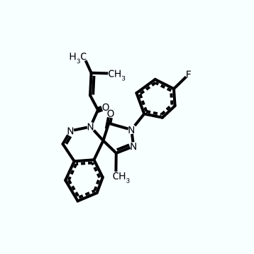 CC(C)=CC(=O)N1N=Cc2ccccc2C12C(=O)N(c1ccc(F)cc1)N=C2C